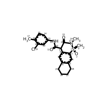 C=S1(=O)c2cc3c(cc2C(C(=O)Nc2ccc(C)c(Cl)c2)C(=O)N1C)CCCC3